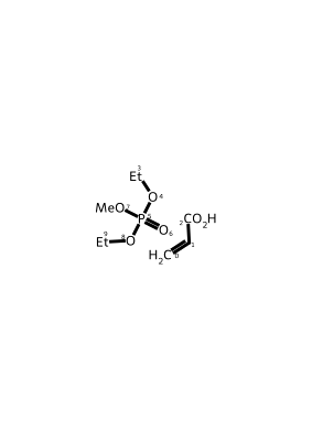 C=CC(=O)O.CCOP(=O)(OC)OCC